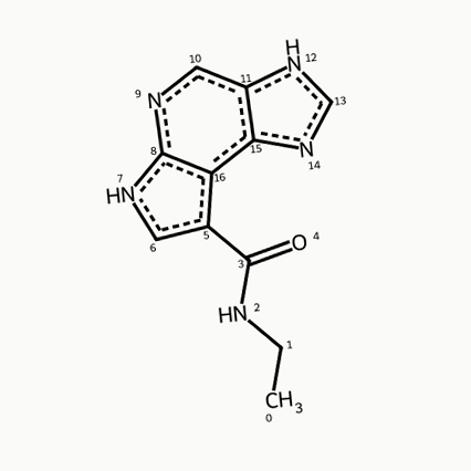 CCNC(=O)c1c[nH]c2ncc3[nH]cnc3c12